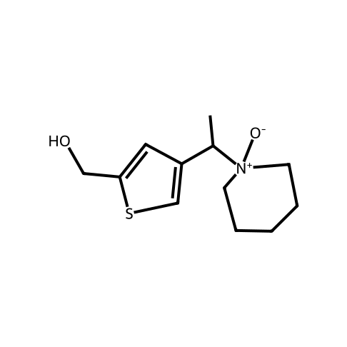 CC(c1csc(CO)c1)[N+]1([O-])CCCCC1